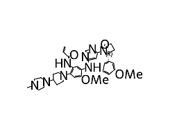 C=CC(=O)Nc1cc(Nc2cc(N3OCC[C@@H]3c3cccc(OC)c3)ncn2)c(OC)cc1N1CCC(N2CCN(C)CC2)CC1